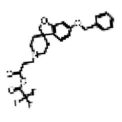 O=C(CCN1CCC2(CC1)COc1cc(OCc3ccccc3)ccc12)OC(=O)C(F)(F)F